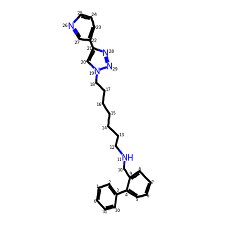 c1ccc(-c2ccccc2CNCCCCCCCn2cc(-c3cccnc3)nn2)cc1